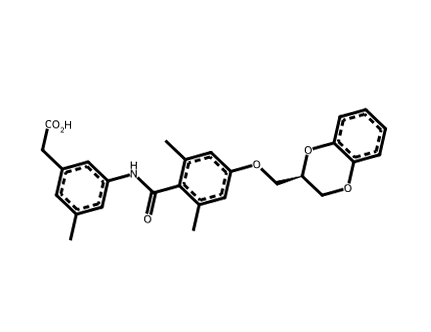 Cc1cc(CC(=O)O)cc(NC(=O)c2c(C)cc(OC[C@@H]3COc4ccccc4O3)cc2C)c1